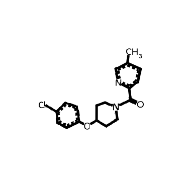 Cc1ccc(C(=O)N2CCC(Oc3ccc(Cl)cc3)CC2)nc1